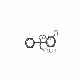 O=C(O)CC(C(=O)O)(c1ccccc1)c1cccc(Cl)c1